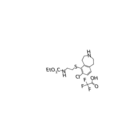 CCOC(=O)NCCSc1c(Cl)ccc2c1CCNCC2.O=C(O)C(F)(F)F